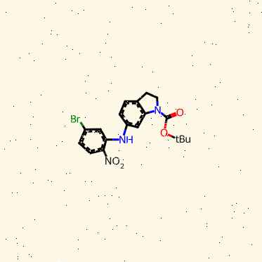 CC(C)(C)OC(=O)N1CCc2ccc(Nc3cc(Br)ccc3[N+](=O)[O-])cc21